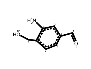 Nc1cc(C=O)ccc1CO